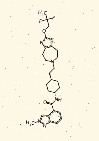 Cn1cc2c(C(=O)N[C@H]3CC[C@H](CCN4CCc5nc(OCC(C)(F)F)sc5CC4)CC3)cccc2n1